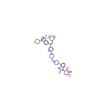 Cn1c(=O)n(C2CCC(=O)NC2=O)c2cccc(C3CCN(CC4CCN(c5ccc(C(=CC6CC(C)(C)OC(C)(C)C6)c6ccc7c(c6)c(F)nn7C6CCOCC6)cn5)CC4)CC3)c21